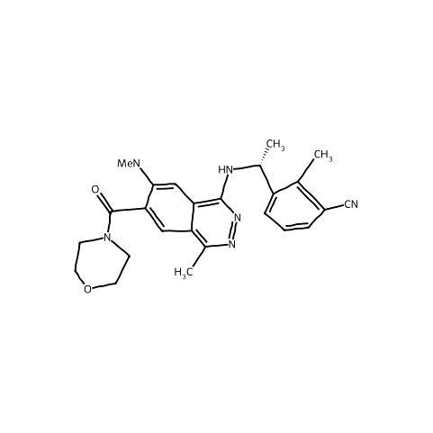 CNc1cc2c(N[C@H](C)c3cccc(C#N)c3C)nnc(C)c2cc1C(=O)N1CCOCC1